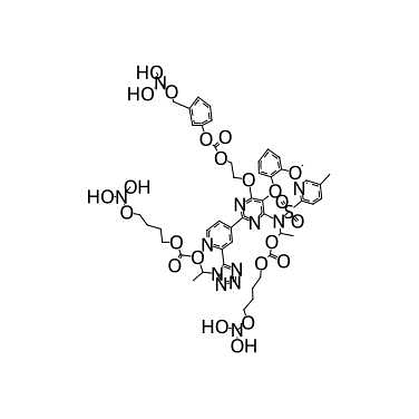 COc1ccccc1Oc1c(OCCOC(=O)Oc2cccc(CON(O)O)c2)nc(-c2ccnc(-c3nnnn3C(C)OC(=O)OCCCCON(O)O)c2)nc1N(C(C)OC(=O)OCCCCON(O)O)S(=O)(=O)c1ccc(C)cn1